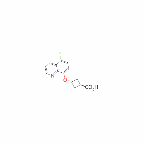 O=C(O)[C@H]1C[C@H](Oc2ccc(F)c3cccnc23)C1